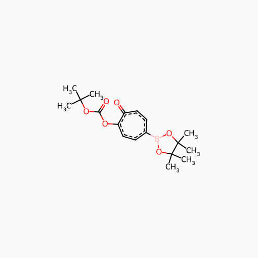 CC(C)(C)OC(=O)Oc1ccc(B2OC(C)(C)C(C)(C)O2)ccc1=O